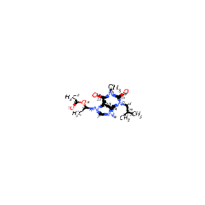 CC(=O)OC(C)n1cnc2c1c(=O)n(C)c(=O)n2CC(C)C